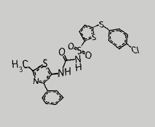 Cc1nc(-c2ccccc2)c(NC(=O)NS(=O)(=O)c2ccc(Sc3ccc(Cl)cc3)s2)s1